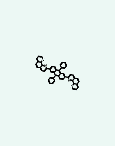 c1ccc(-c2c3ccc(-c4ccc5ccc6cccnc6c5n4)cc3c(-c3ccccc3)c3ccc(-c4ccc5ccc6cccnc6c5n4)cc23)cc1